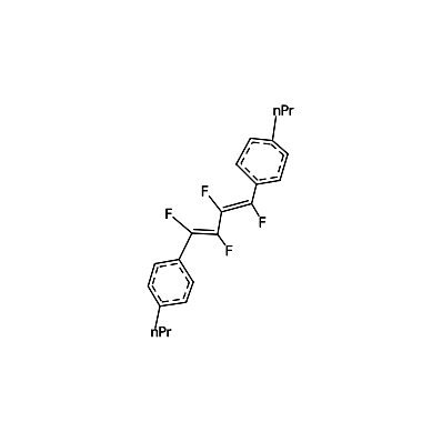 CCCc1ccc(C(F)=C(F)/C(F)=C(\F)c2ccc(CCC)cc2)cc1